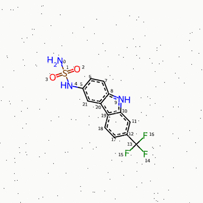 NS(=O)(=O)Nc1ccc2[nH]c3cc(C(F)(F)F)ccc3c2c1